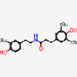 CC(C)(C)c1cc(CCNC(=O)CCc2cc(C(C)(C)C)c(O)c(C(C)(C)C)c2)ccc1O